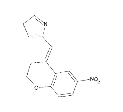 O=[N+]([O-])c1ccc2c(c1)/C(=C/C1=CCC=N1)CCO2